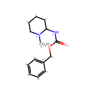 O=C(NC1CCCCN1C(=O)O)OCc1ccccc1